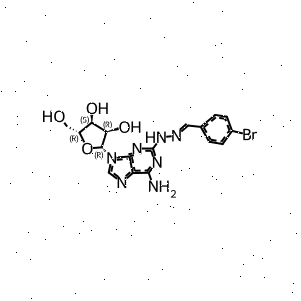 Nc1nc(NN=Cc2ccc(Br)cc2)nc2c1ncn2[C@@H]1O[C@H](CO)[C@@H](O)[C@H]1O